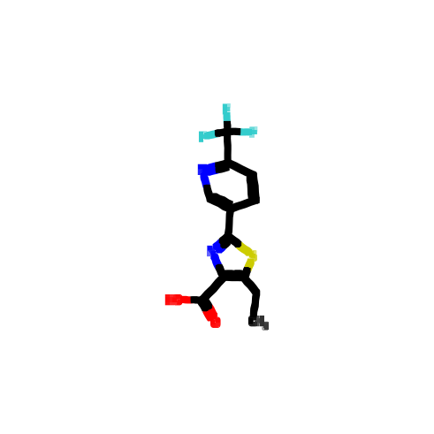 CCc1sc(-c2ccc(C(F)(F)F)nc2)nc1C(=O)O